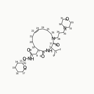 CC(C)C1NC(=O)C(CC(=O)NO[C@H]2CCCCO2)CCCC=CCCCN(CCCN2CCOCC2)C1=O